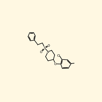 Cc1ccc(OC2CCN(S(=O)(=O)C[CH]c3ccccc3)CC2)c(Cl)c1